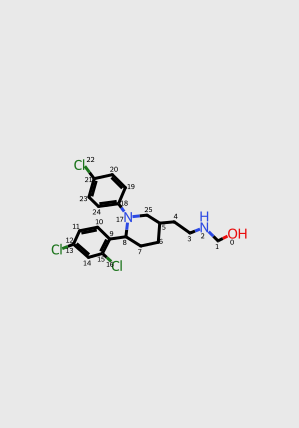 OCNCCC1CCC(c2ccc(Cl)cc2Cl)N(c2ccc(Cl)cc2)C1